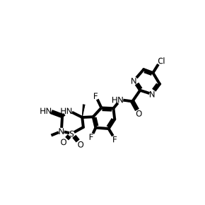 CN1C(=N)N[C@](C)(c2c(F)c(F)cc(NC(=O)c3ncc(Cl)cn3)c2F)CS1(=O)=O